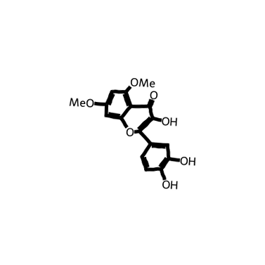 COc1cc(OC)c2c(=O)c(O)c(-c3ccc(O)c(O)c3)oc2c1